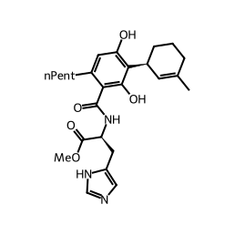 CCCCCc1cc(O)c([C@@H]2C=C(C)CCC2)c(O)c1C(=O)N[C@@H](Cc1cnc[nH]1)C(=O)OC